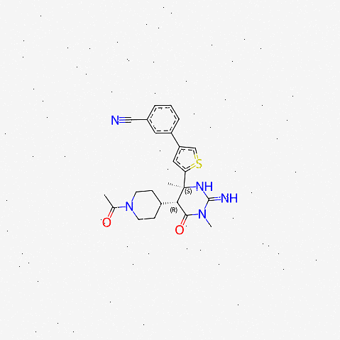 CC(=O)N1CCC([C@H]2C(=O)N(C)C(=N)N[C@]2(C)c2cc(-c3cccc(C#N)c3)cs2)CC1